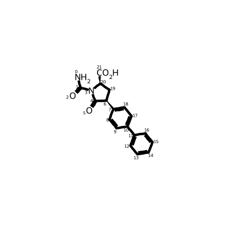 NC(=O)N1C(=O)[C@H](c2ccc(-c3ccccc3)cc2)C[C@@H]1C(=O)O